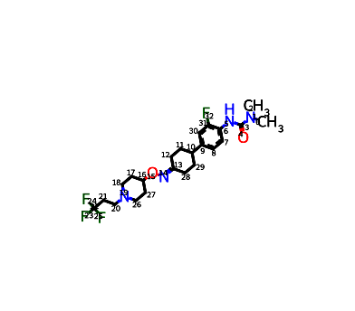 CN(C)C(=O)Nc1ccc(C2CCC(=NOC3CCN(CCC(F)(F)F)CC3)CC2)cc1F